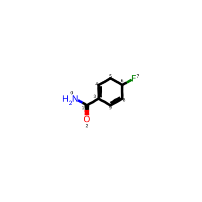 NC(=O)C1=CCC(F)C=C1